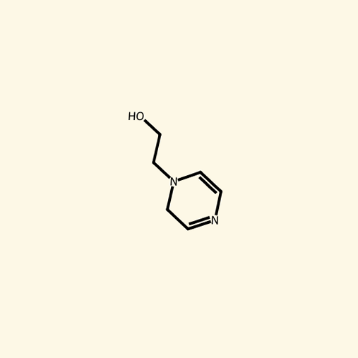 OCCN1C=CN=CC1